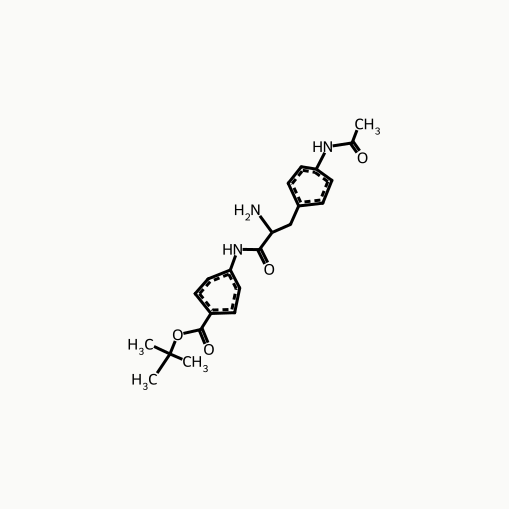 CC(=O)Nc1ccc(CC(N)C(=O)Nc2ccc(C(=O)OC(C)(C)C)cc2)cc1